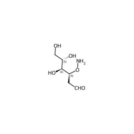 NO[C@@H](CC=O)[C@@H](O)[C@@H](O)CO